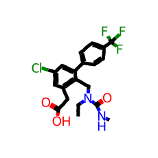 CCN(Cc1c(CC(=O)O)cc(Cl)cc1-c1ccc(C(F)(F)F)cc1)C(=O)NC